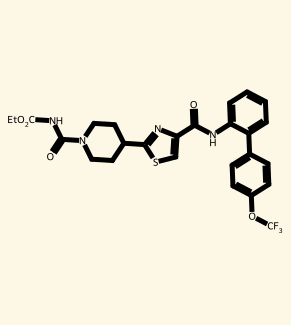 CCOC(=O)NC(=O)N1CCC(c2nc(C(=O)Nc3ccccc3-c3ccc(OC(F)(F)F)cc3)cs2)CC1